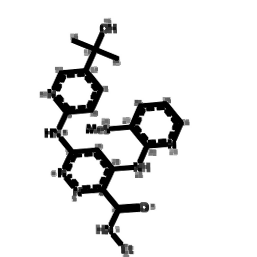 CCNC(=O)c1nnc(Nc2ccc(C(C)(C)O)cn2)cc1Nc1ncccc1SC